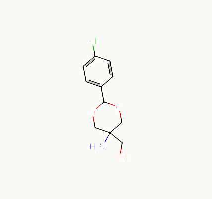 NC1(CO)COC(c2ccc(Cl)cc2)OC1